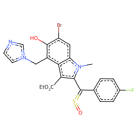 CCOC(=O)c1c(C(=S=O)c2ccc(F)cc2)n(C)c2cc(Br)c(O)c(Cn3ccnc3)c12